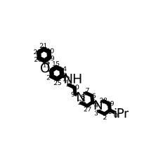 CC(C)C1CCN(C2CCN(CCCNc3ccc(Oc4ccccc4)cc3)CC2)CC1